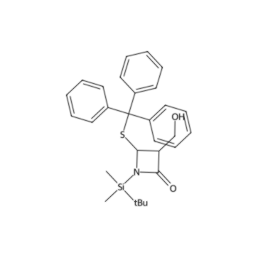 CC(C)(C)[Si](C)(C)N1C(=O)C(CO)C1SC(c1ccccc1)(c1ccccc1)c1ccccc1